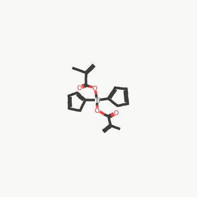 C=C(C)C(=O)[O][Ti]([O]C(=O)C(=C)C)([C]1=CC=CC1)[C]1=CC=CC1